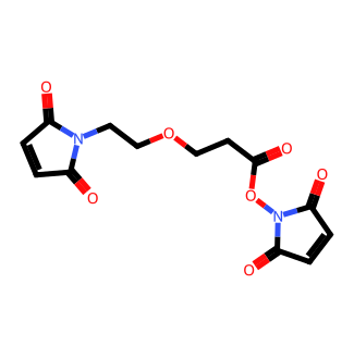 O=C(CCOCCN1C(=O)C=CC1=O)ON1C(=O)C=CC1=O